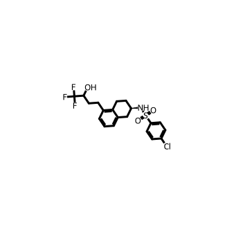 O=S(=O)(N[C@@H]1CCc2c(CCC(O)C(F)(F)F)cccc2C1)c1ccc(Cl)cc1